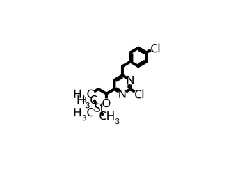 CCC(O[Si](C)(C)C)c1cc(Cc2ccc(Cl)cc2)nc(Cl)n1